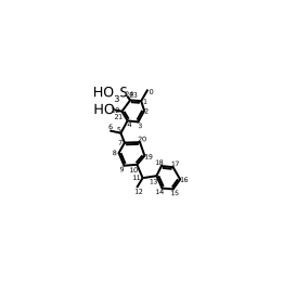 Cc1ccc(C(C)c2ccc(C(C)c3ccccc3)cc2)c(O)c1S(=O)(=O)O